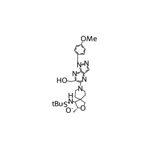 COc1ccc(Cn2ncc3nc(N4CCC5(CC4)CO[C@@H](C)[C@H]5N[S+]([O-])C(C)(C)C)c(CO)nc32)cc1